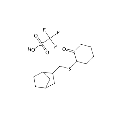 O=C1CCCCC1SCC1CC2CCC1C2.O=S(=O)(O)C(F)(F)F